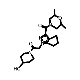 CC1CN(C(=O)c2nn(CC(=O)N3CCC(O)CC3)c3c2CCC3)CC(C)O1